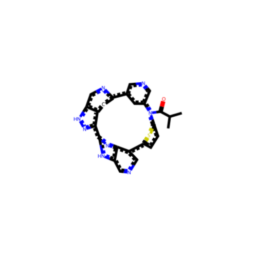 CC(C)C(=O)n1c2cncc(c2)c2cc3c(cn2)[nH]nc3c2nc3c(cncc3c3ccc1s3)[nH]2